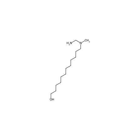 CN(CN)CCCCCCCCCCCCO